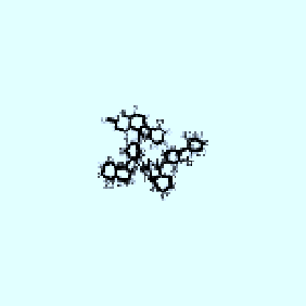 C=C/C=C\c1c(C)ccc2c3c(n(-c4ccc5c6c7ccccc7ccc6n(-c6nc(-c7ccc8c(c7)sc7ccccc78)c7ccccc7n6)c5c4)c12)C=CCC3